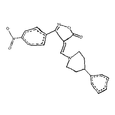 O=C1ON=C(c2ccc([N+](=O)[O-])cc2)C1=CN1CCC(c2ccccc2)CC1